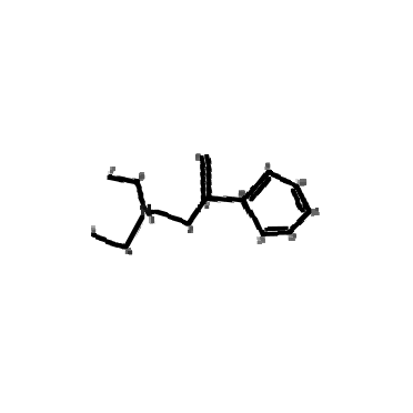 C=C(CN(CC)CC)c1ccccc1